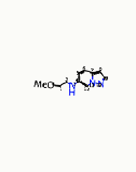 COCCNc1ccc2ccnn2c1